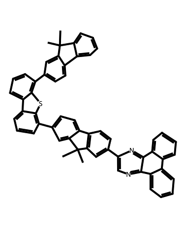 CC1(C)c2ccccc2-c2ccc(-c3cccc4c3sc3c(-c5ccc6c(c5)C(C)(C)c5cc(-c7cnc8c9ccccc9c9ccccc9c8n7)ccc5-6)cccc34)cc21